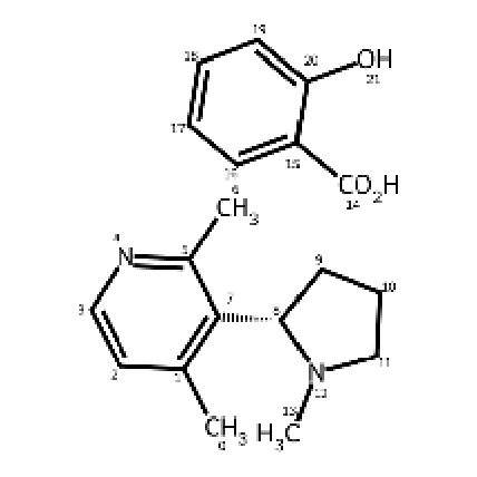 Cc1ccnc(C)c1[C@@H]1CCCN1C.O=C(O)c1ccccc1O